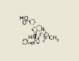 Cc1cc(CN2CCc3c(-c4cccc(C(=O)O)c4)ccc(CNC(=O)[C@@H]4C[C@@H]4c4ccccc4)c3C2)c(C)n1C1CC1